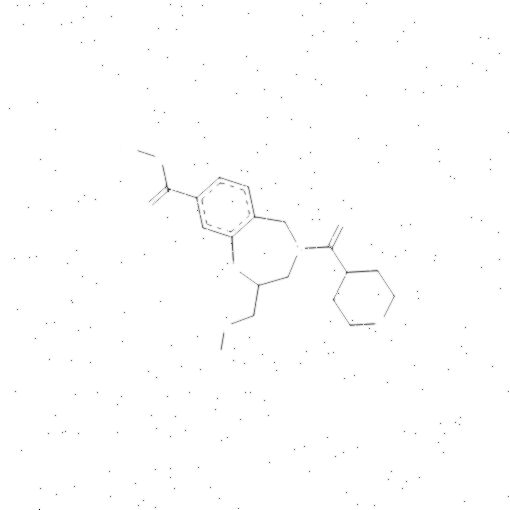 COCC1CN(C(=O)C2CCOCC2)Cc2ccc(C(=O)OC)cc2O1